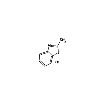 Cc1nc2ccccc2s1.I